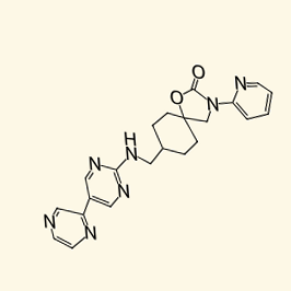 O=C1OC2(CCC(CNc3ncc(-c4cnccn4)cn3)CC2)CN1c1ccccn1